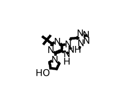 Cn1nnnc1CN1NNc2c(N3CC[C@H](O)C3)nc(C(C)(C)C)nc21